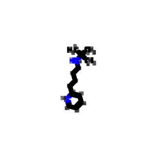 CC(C)(C)NCCCCc1ccccn1